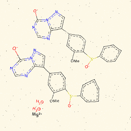 COc1cc(-c2cnn3c([O-])ncnc23)ccc1[S+]([O-])c1ccccc1.COc1cc(-c2cnn3c([O-])ncnc23)ccc1[S+]([O-])c1ccccc1.O.O.[Mg+2]